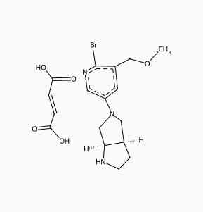 COCc1cc(N2C[C@H]3CCN[C@H]3C2)cnc1Br.O=C(O)C=CC(=O)O